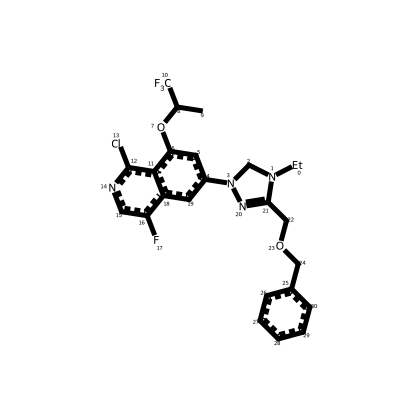 CCN1CN(c2cc(OC(C)C(F)(F)F)c3c(Cl)ncc(F)c3c2)N=C1COCc1ccccc1